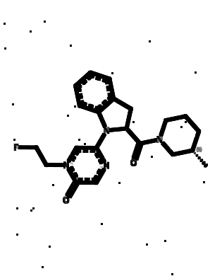 C[C@H]1CCCN(C(=O)C2Cc3ccccc3N2c2cn(CCF)c(=O)cn2)C1